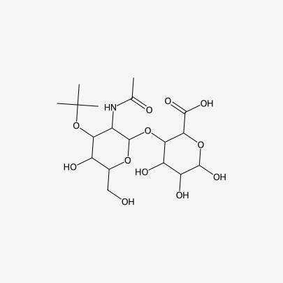 CC(=O)NC1C(OC2C(C(=O)O)OC(O)C(O)C2O)OC(CO)C(O)C1OC(C)(C)C